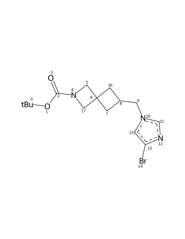 CC(C)(C)OC(=O)N1CC2(CC(Cn3cnc(Br)c3)C2)C1